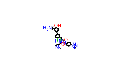 Cn1cnnc1-c1ccc(NC(=O)C(Cc2cc(-c3ccc(O)c(C(C)(C)N)c3)ccc2Cl)NC(=O)c2ccnn2C)cc1